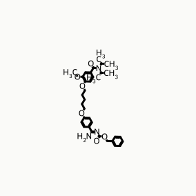 COc1cc(C(=O)N(C(C)C)C(C)C)ccc1OCCCCCOc1ccc(C(N)=NC(=O)OCc2ccccc2)cc1